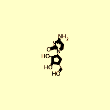 Nc1ccn([C@@H]2C[C@H](CO)C(O)[C@@H]2O)c(=O)n1